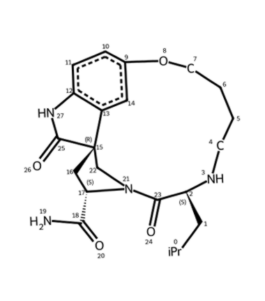 CC(C)C[C@@H]1NCCCCOc2ccc3c(c2)[C@@]2(C[C@@H](C(N)=O)N(C2)C1=O)C(=O)N3